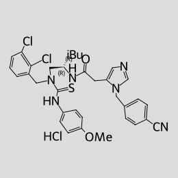 CC[C@@H](C)[C@H](CN(Cc1cccc(Cl)c1Cl)C(=S)Nc1ccc(OC)cc1)NC(=O)Cc1cncn1Cc1ccc(C#N)cc1.Cl